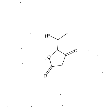 CC(S)C1OC(=O)CC1=O